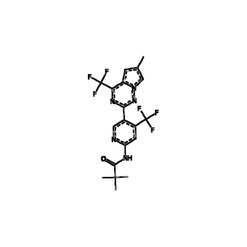 Cc1cc2c(C(F)(F)F)nc(-c3cnc(NC(=O)C(C)(C)C)cc3C(F)(F)F)nn2c1